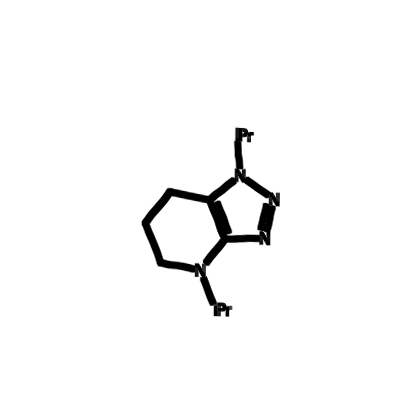 CC(C)N1CCCc2c1nnn2C(C)C